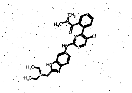 CCN(CC)Cc1nc2ccc(Nc3ncc(Cl)c(-c4ccccc4C(=O)N(C)C)n3)cc2[nH]1